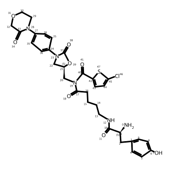 N[C@@H](Cc1ccc(O)cc1)C(=O)NCCCCC(=O)N(C[C@H]1CN(c2ccc(N3CCOCC3=O)cc2)C(=O)O1)C(=O)c1ccc(Cl)s1